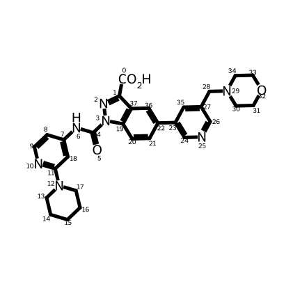 O=C(O)c1nn(C(=O)Nc2ccnc(N3CCCCC3)c2)c2ccc(-c3cncc(CN4CCOCC4)c3)cc12